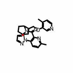 Cc1ccc(-n2nccn2)c(C(=O)N2C3CCC2C(COc2cnccc2C)C3)n1